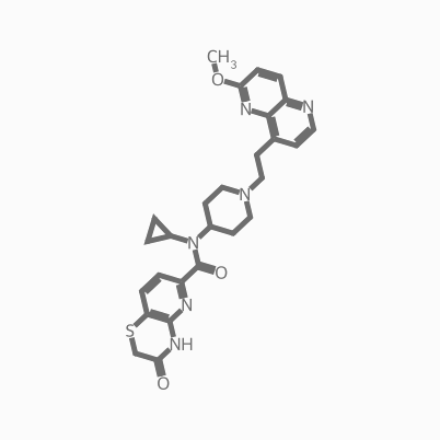 COc1ccc2nccc(CCN3CCC(N(C(=O)c4ccc5c(n4)NC(=O)CS5)C4CC4)CC3)c2n1